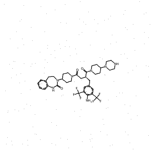 Nc1c(C(F)(F)F)cc(C[C@@H](CC(=O)N2CCC(N3CCc4ccccc4NC3=O)CC2)C(=O)N2CCC(N3CCNCC3)CC2)cc1C(F)(F)F